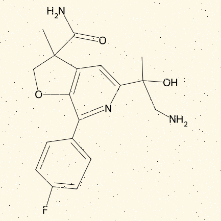 CC(O)(CN)c1cc2c(c(-c3ccc(F)cc3)n1)OCC2(C)C(N)=O